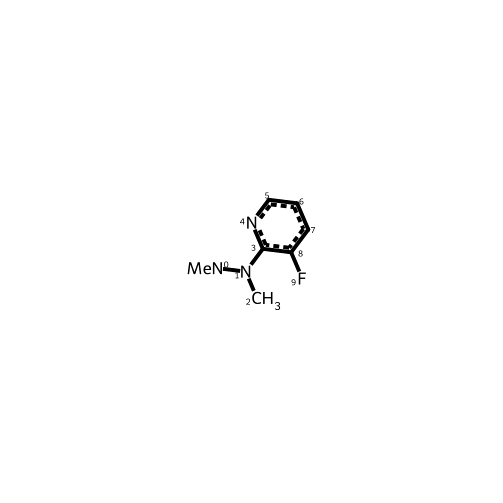 CNN(C)c1ncccc1F